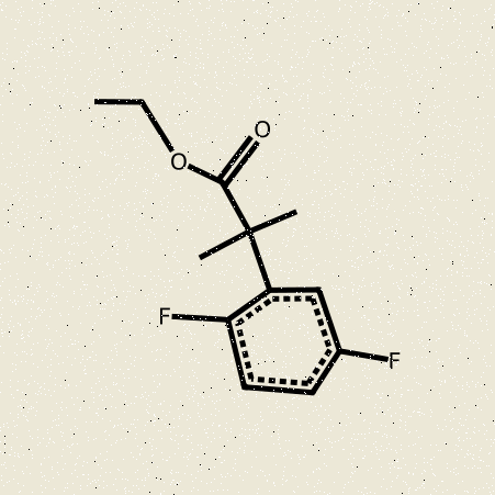 CCOC(=O)C(C)(C)c1cc(F)ccc1F